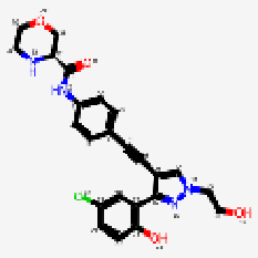 O=C(Nc1ccc(C#Cc2cn(CCO)nc2-c2cc(Cl)ccc2O)cc1)[C@@H]1COCCN1